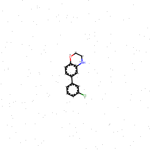 Clc1cccc(-c2ccc3c(c2)NCCO3)c1